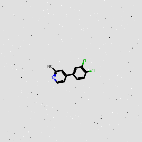 N#Cc1cc(-c2ccc(Cl)c(Cl)c2)ccn1